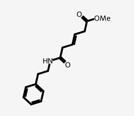 COC(=O)C/C=C/CC(=O)NCCc1ccccc1